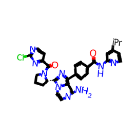 CC(C)c1ccnc(NC(=O)c2ccc(-c3nc([C@@H]4CCCN4C(=O)c4ccnc(Cl)n4)n4ccnc(N)c34)cc2)c1